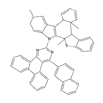 CC1C=c2c3c(n(-c4nc(-c5ccc6ccccc6c5)c5c6ccccc6c6ccccc6c5n4)c2=CC1)C1(C)Sc2ccccc2C1C1(C)C=CC=CC31